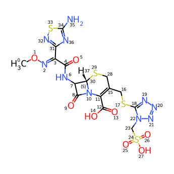 CON=C(C(=O)NC1C(=O)N2C(C(=O)O)=C(CSc3nnnn3CS(=O)(=O)O)CS[C@@H]12)c1nsc(N)n1